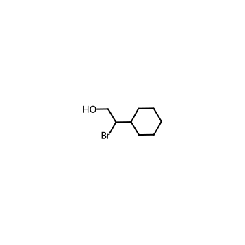 OCC(Br)C1CCCCC1